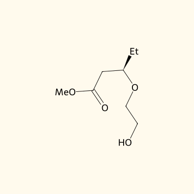 CC[C@H](CC(=O)OC)OCCO